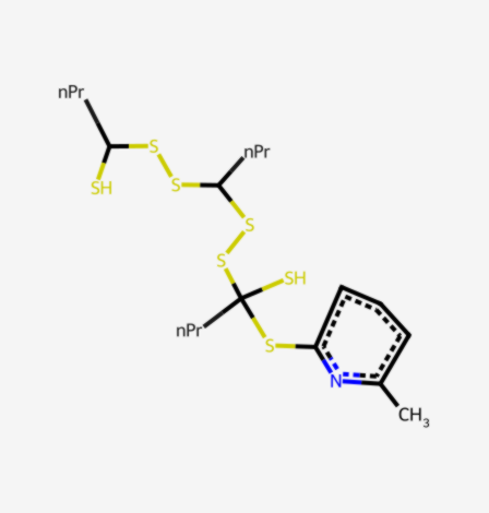 CCCC(S)SSC(CCC)SSC(S)(CCC)Sc1cccc(C)n1